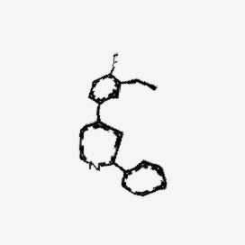 CCc1cc(-c2ccnc(-c3ccccc3)c2)ccc1F